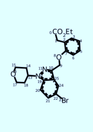 CCOC(=O)Cc1ccccc1OCc1nn(C2CCOCC2)c2ccc(Br)cc12